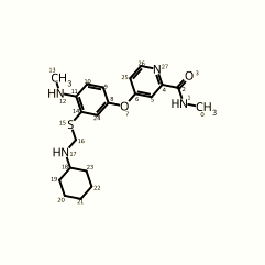 CNC(=O)c1cc(Oc2ccc(NC)c(SCNC3CCCCC3)c2)ccn1